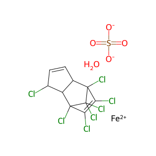 ClC1=C(Cl)C2(Cl)C3C(Cl)C=CC3C1(Cl)C2(Cl)Cl.O.O=S(=O)([O-])[O-].[Fe+2]